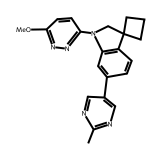 COc1ccc(N2CC3(CCC3)c3ccc(-c4cnc(C)nc4)cc32)nn1